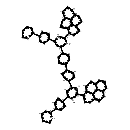 c1ccc(-c2ccc(-c3cc(-c4ccc(-c5ccc(-c6cc(-c7ccc(-c8ccccn8)cc7)nc(-c7ccc8ccc9cccc%10ccc7c8c9%10)n6)cc5)cc4)nc(-c4ccc5ccc6cccc7ccc4c5c67)n3)cc2)nc1